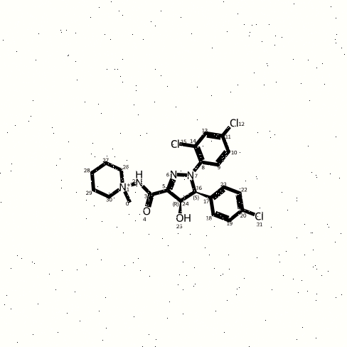 C[N+]1(NC(=O)C2=NN(c3ccc(Cl)cc3Cl)[C@@H](c3ccc(Cl)cc3)[C@H]2O)CCCCC1